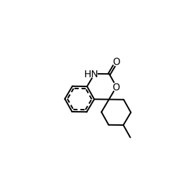 CC1CCC2(CC1)OC(=O)Nc1ccccc12